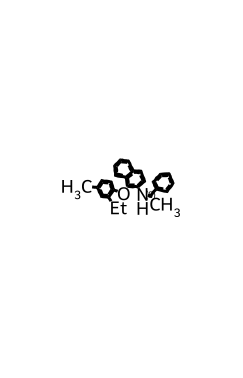 CCc1cc(C)ccc1Oc1c(N[C@@H](C)c2ccccc2)ccc2ccccc12